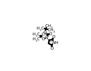 CC(C)(C)OC(=O)N(OC(C)(C)C)[C@H]1CC(=O)NC1=O